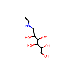 CCNCC(O)C(O)C(O)C(O)CO